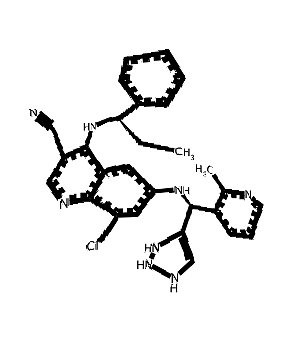 CC[C@@H](Nc1c(C#N)cnc2c(Cl)cc(N[C@H](C3=CNNN3)c3cccnc3C)cc12)c1ccccc1